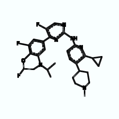 CC(C)N1CC(F)Oc2c(F)cc(-c3nc(Nc4ccc(C5CCN(C)CC5)c(C5CC5)n4)ncc3F)cc21